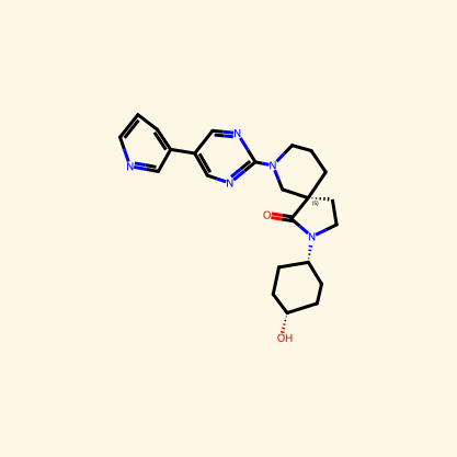 O=C1N([C@H]2CC[C@@H](O)CC2)CC[C@]12CCCN(c1ncc(-c3cccnc3)cn1)C2